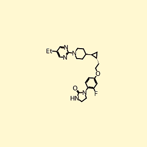 CCc1cnc(N2CCC([C@H]3C[C@@H]3CCOc3ccc(N4CCNC4=O)c(F)c3)CC2)nc1